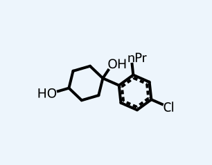 CCCc1cc(Cl)ccc1C1(O)CCC(O)CC1